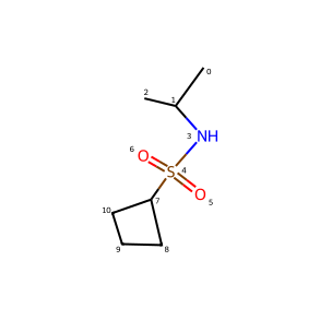 CC(C)NS(=O)(=O)C1CCC1